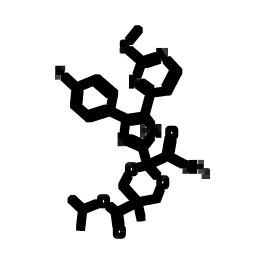 CSc1nccc(-c2[nH]c(C3(C(N)=O)OCC(C)(C(=O)OC(C)C)CO3)nc2-c2ccc(F)cc2)n1